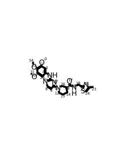 COc1cc(Nc2nccc(N3CCC[C@H](C(=O)NCc4nc(C)cs4)C3)n2)cc(OC)c1OC